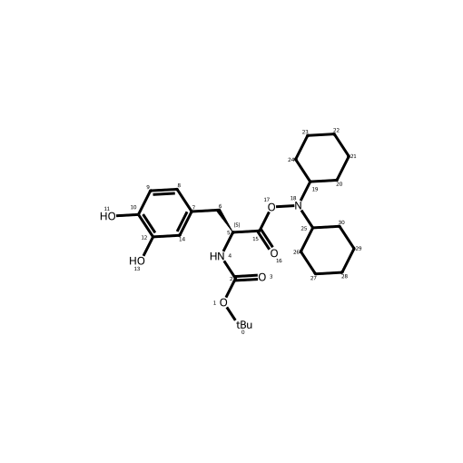 CC(C)(C)OC(=O)N[C@@H](Cc1ccc(O)c(O)c1)C(=O)ON(C1CCCCC1)C1CCCCC1